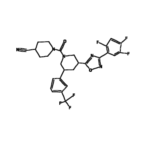 N#CC1CCN(C(=O)N2CC(c3cccc(C(F)(F)F)c3)CC(c3nc(-c4cc(F)c(F)cc4F)no3)C2)CC1